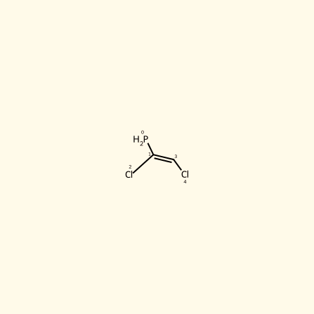 PC(Cl)=CCl